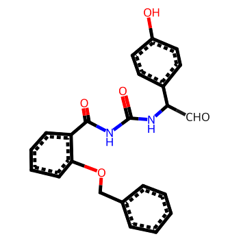 O=CC(NC(=O)NC(=O)c1ccccc1OCc1ccccc1)c1ccc(O)cc1